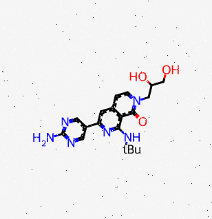 CC(C)(C)Nc1nc(-c2cnc(N)nc2)cc2ccn(CC(O)CO)c(=O)c12